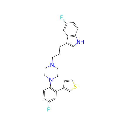 Fc1ccc(N2CCN(CCCc3c[nH]c4ccc(F)cc34)CC2)c(-c2ccsc2)c1